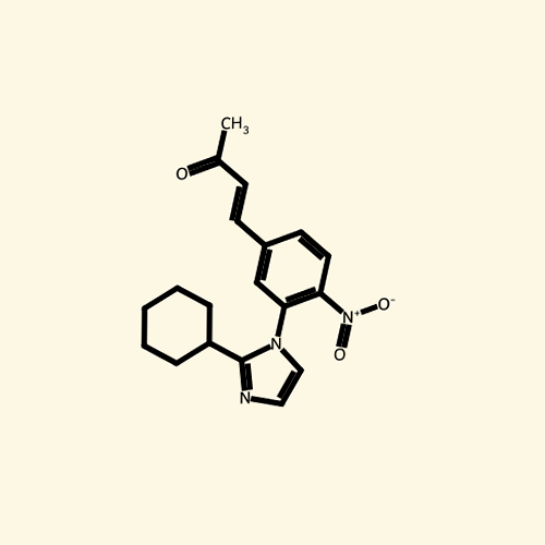 CC(=O)/C=C/c1ccc([N+](=O)[O-])c(-n2ccnc2C2CCCCC2)c1